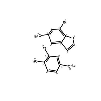 COc1cc(Br)c2occc2c1.COc1ccc(O)c(Br)c1